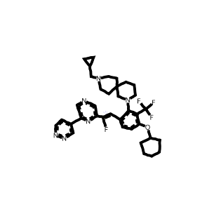 F/C(=C\c1ccc(OC2CCCCC2)c(C(F)(F)F)c1N1CCCC2(CCN(CC3CC3)CC2)C1)c1cncc(-c2ccnnc2)n1